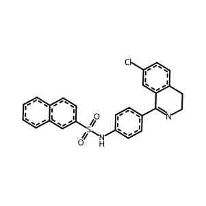 O=S(=O)(Nc1ccc(C2=NCCc3ccc(Cl)cc32)cc1)c1ccc2ccccc2c1